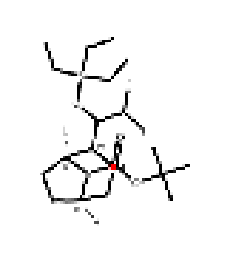 CC[Si](CC)(CC)OC(C(F)F)[C@H]1NC[C@H]2CC[C@@H]1N2C(=O)OC(C)(C)C